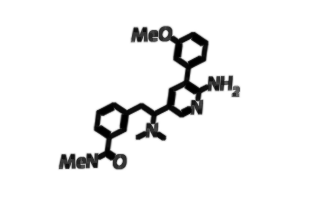 CNC(=O)c1cccc(CC(c2cnc(N)c(-c3cccc(OC)c3)c2)N(C)C)c1